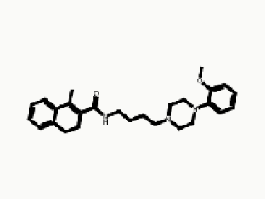 COc1ccccc1N1CCN(CCCCNC(=O)C2=C(C)c3ccccc3CC2)CC1